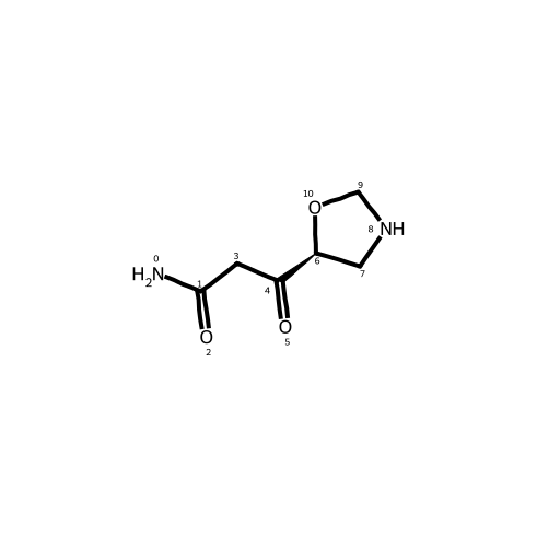 NC(=O)CC(=O)[C@@H]1CNCO1